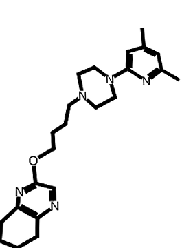 Cc1cc(C)nc(N2CCN(CCCCOc3cnc4c(n3)CCCC4)CC2)c1